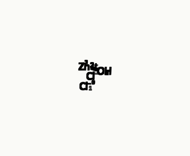 [Cl-].[Cl-].[OH][Zn+2]